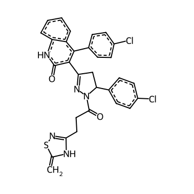 C=C1NC(CCC(=O)N2N=C(c3c(-c4ccc(Cl)cc4)c4ccccc4[nH]c3=O)CC2c2ccc(Cl)cc2)=NS1